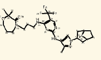 Cc1nn(C2CC3CCC(C2)N3C)cc1Nc1ncc(C(F)(F)F)c(NCCCN2CCCOC(C)(C)C2=O)n1